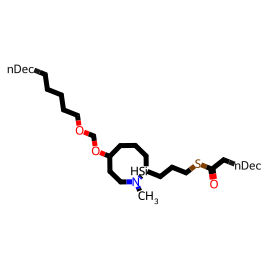 CCCCCCCCCCCCCCCOCOC1CCC[SiH](CCCSC(=O)CCCCCCCCCCC)N(C)CC1